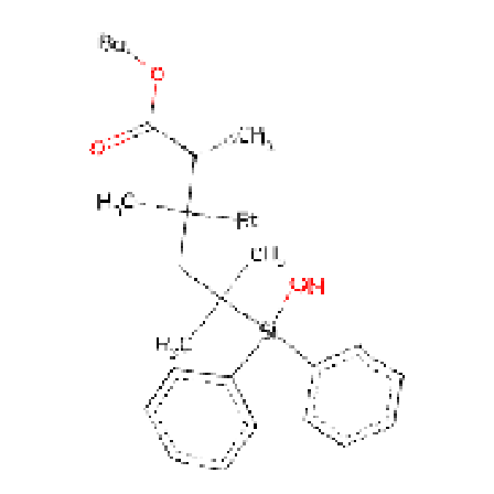 CCC(C)OC(=O)[C@H](C)C(C)(CC)CC(C)(C)[Si](O)(c1ccccc1)c1ccccc1